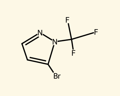 FC(F)(F)n1nccc1Br